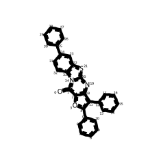 O=c1c2oc(-c3ccccc3)c(-c3ccccc3)c2nc2sc3cc(-c4ccccc4)ccc3n12